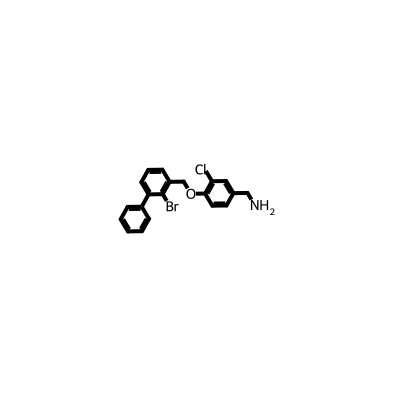 NCc1ccc(OCc2cccc(-c3ccccc3)c2Br)c(Cl)c1